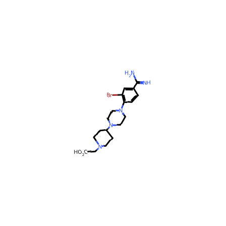 N=C(N)c1ccc(N2CCN(C3CCN(CC(=O)O)CC3)CC2)c(Br)c1